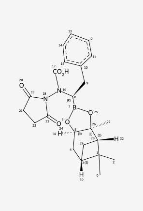 CC1(C)[C@@H]2C[C@H]3OB([C@H](Cc4ccccc4)N(C(=O)O)N4C(=O)CCC4=O)O[C@@]3(C)[C@H]1C2